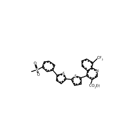 CCOC(=O)c1cnc2c(C(F)(F)F)cccc2c1-c1ccc(-c2ccc(-c3cccc(S(C)(=O)=O)c3)s2)s1